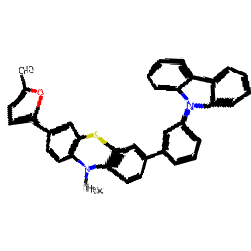 CCCCCCN1c2ccc(-c3cccc(-n4c5ccccc5c5ccccc54)c3)cc2Sc2cc(-c3ccc(C=O)o3)ccc21